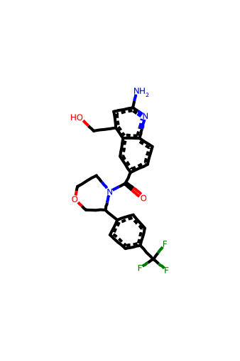 Nc1cc(CO)c2cc(C(=O)N3CCOCC3c3ccc(C(F)(F)F)cc3)ccc2n1